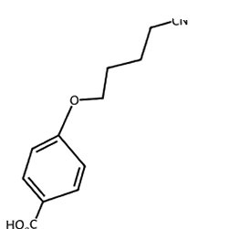 N#CCCCCOc1ccc(C(=O)O)cc1